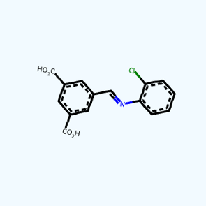 O=C(O)c1cc(/C=N/c2ccccc2Cl)cc(C(=O)O)c1